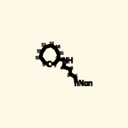 CCCCCCCCCCCCCNC1CCCCCCCCC1